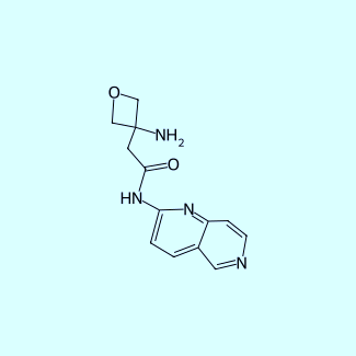 NC1(CC(=O)Nc2ccc3cnccc3n2)COC1